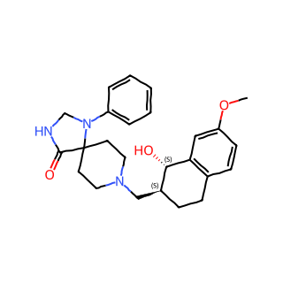 COc1ccc2c(c1)[C@@H](O)[C@H](CN1CCC3(CC1)C(=O)NCN3c1ccccc1)CC2